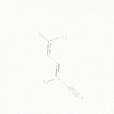 C/C(F)=C\C=C(/N)C#N